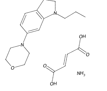 CCCN1CCc2ccc(N3CCOCC3)cc21.N.O=C(O)C=CC(=O)O